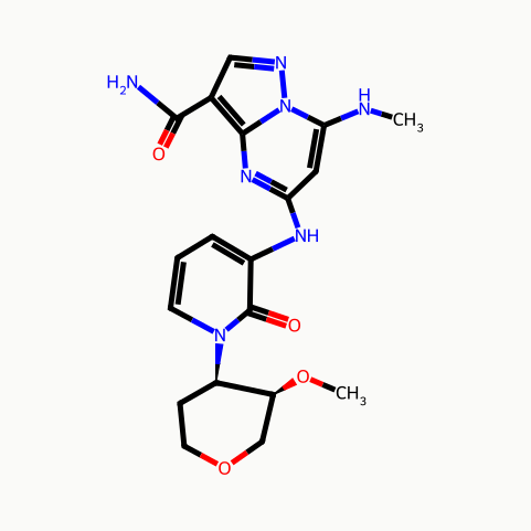 CNc1cc(Nc2cccn([C@@H]3CCOC[C@@H]3OC)c2=O)nc2c(C(N)=O)cnn12